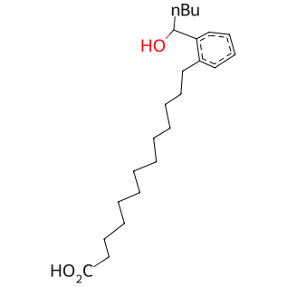 CCCCC(O)c1ccccc1CCCCCCCCCCCCC(=O)O